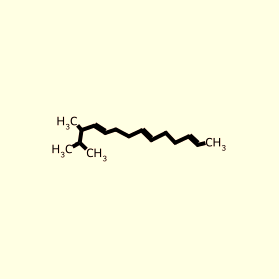 CC=CCCC=CCCC=CC(C)[C](C)C